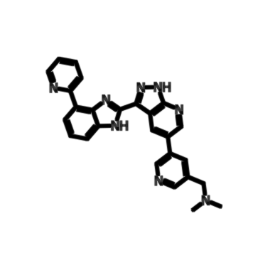 CN(C)Cc1cncc(-c2cnc3[nH]nc(-c4nc5c(-c6ccccn6)cccc5[nH]4)c3c2)c1